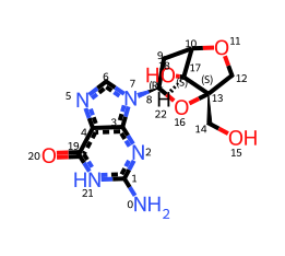 Nc1nc2c(ncn2[C@H]2CC3OC[C@](CO)(O2)[C@H]3O)c(=O)[nH]1